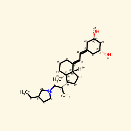 CCC1CCN(CC(C)[C@H]2CC[C@H]3C(=CC=C4C[C@@H](O)C[C@H](O)C4)CCC[C@]23C)C1